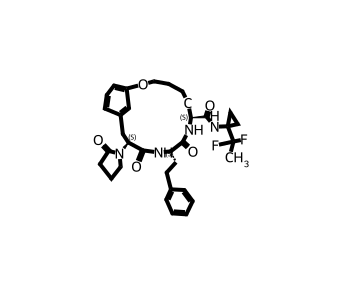 CC(F)(F)C1(NC(=O)[C@@H]2CCCCOc3cccc(c3)C[C@H](N3CCCC3=O)C(=O)N[C@@H](CCc3ccccc3)C(=O)N2)CC1